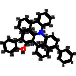 c1ccc(-c2ccc(N(c3ccccc3-c3ccccc3)c3ccc4c(oc5ccccc54)c3-c3ccccc3)cc2)cc1